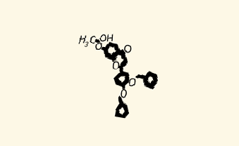 CC(O)Oc1ccc2c(=O)cc(-c3ccc(OCc4ccccc4)c(OCc4ccccc4)c3)oc2c1